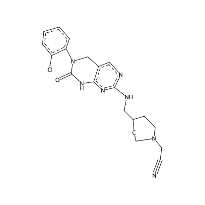 N#CCN1CCC(CNc2ncc3c(n2)NC(=O)N(c2ccccc2Cl)C3)CC1